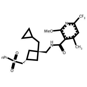 CCCS(=O)(=O)C[C@H]1C[C@@](CNC(=O)c2c(C)cc(C(F)(F)F)nc2OC)(CC2CC2)C1